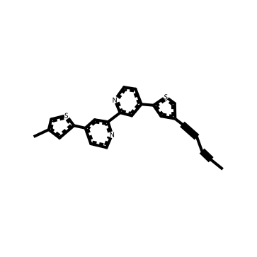 CC#CC#Cc1csc(-c2ccnc(-c3cc(-c4cc(C)cs4)ccn3)c2)c1